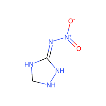 O=[N+]([O-])N=C1NCNN1